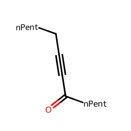 CCCCCCC#CC(=O)CCCCC